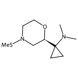 CSN1CCO[C@@H](C2(N(C)C)CC2)C1